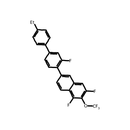 CCc1ccc(-c2ccc(-c3ccc4c(F)c(OC(F)(F)F)c(F)cc4c3)c(F)c2)cc1